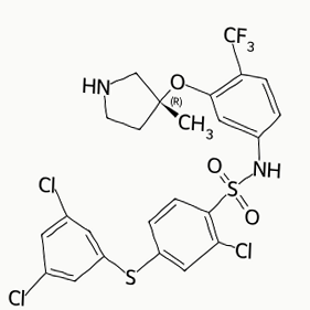 C[C@@]1(Oc2cc(NS(=O)(=O)c3ccc(Sc4cc(Cl)cc(Cl)c4)cc3Cl)ccc2C(F)(F)F)CCNC1